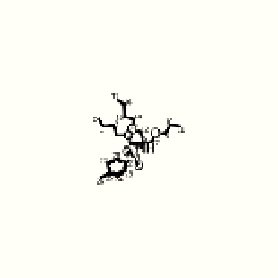 CCCCOCC(COCCC)(COCCCC)NS(=O)(=O)c1ccc(C)cc1